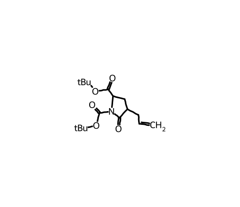 C=CCC1CC(C(=O)OC(C)(C)C)N(C(=O)OC(C)(C)C)C1=O